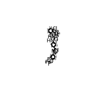 O=C(Nc1ccc(-c2ncn(-c3ccc(OC(F)(F)F)cc3)n2)cc1)Nc1scnc1-c1c(Cl)cccc1Cl